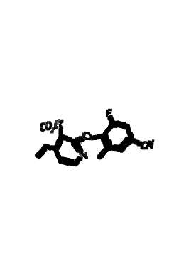 C=Cc1ccnc(Oc2c(C)cc(C#N)cc2F)c1C(=O)OCC